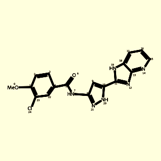 COc1ccc(C(=O)Nc2cc(-c3nc4ncccc4[nH]3)[nH]n2)cc1Cl